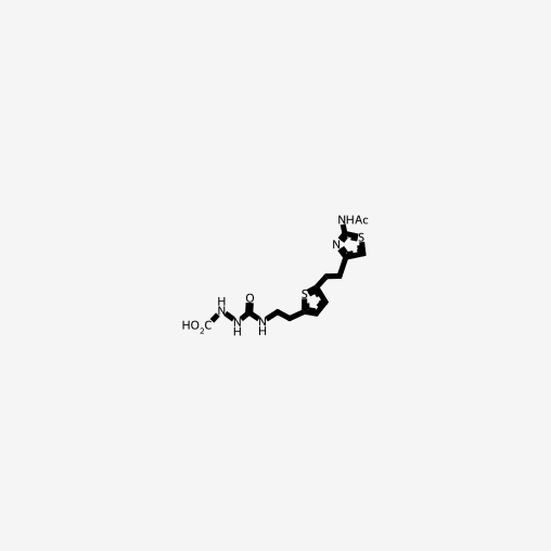 CC(=O)Nc1nc(CCc2ccc(CCNC(=O)NNC(=O)O)s2)cs1